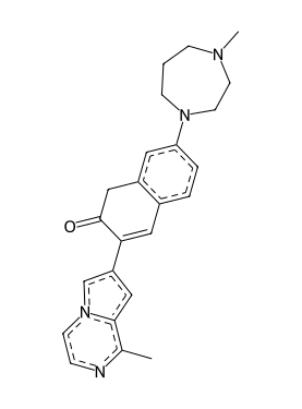 Cc1nccn2cc(C3=Cc4ccc(N5CCCN(C)CC5)cc4CC3=O)cc12